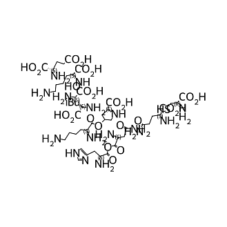 CC[C@H](C)[C@H](N)C(=O)O.NC(=O)CC[C@H](N)C(=O)O.NC(=O)C[C@H](N)C(=O)OC(=O)[C@@H](N)Cc1c[nH]cn1.NCC(=O)O.NCCCC[C@H](N)C(=O)OC1CN[C@H](C(=O)O)C1.NCCCC[C@H](NO)C(=O)O.N[C@@H](CCC(=O)O)C(=O)O.N[C@@H](CS)C(=O)O